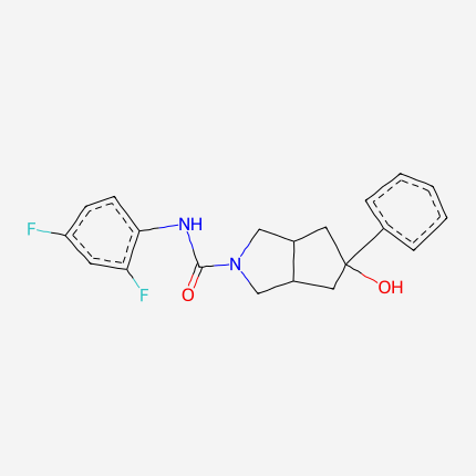 O=C(Nc1ccc(F)cc1F)N1CC2CC(O)(c3ccccc3)CC2C1